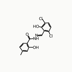 Cc1ccc(C(=O)N/N=C/c2c(Cl)ccc(Cl)c2O)c(O)c1